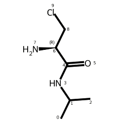 CC(C)NC(=O)[C@@H](N)CCl